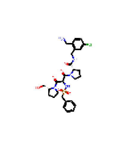 NCc1ccc(Cl)cc1CNC(=O)[C@@H]1CCCN1C(=O)C(NS(=O)(=O)Cc1ccccc1)C(=O)N1CCC[C@@H]1CO